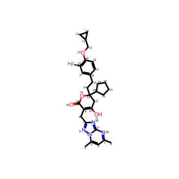 Cc1cc(C)n2nc(CC3=C(O)CC(CCc4ccc(OCC5CC5)c(F)c4)(C4CCCC4)OC3=O)nc2n1